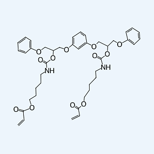 C=CC(=O)OCCCCCNC(=O)OC(COc1ccccc1)COc1cccc(OCC(COc2ccccc2)OC(=O)NCCCCCOC(=O)C=C)c1